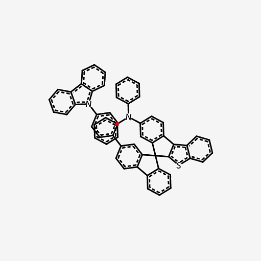 c1ccc(N(c2ccccc2)c2ccc3c(c2)C2(c4ccccc4-c4ccc(-c5ccc(-n6c7ccccc7c7ccccc76)cc5)cc42)c2sc4ccccc4c2-3)cc1